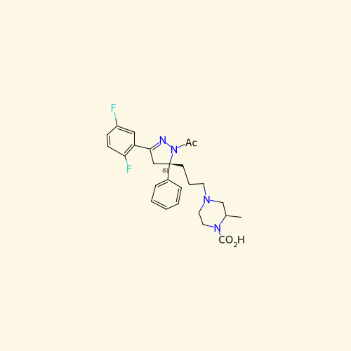 CC(=O)N1N=C(c2cc(F)ccc2F)C[C@@]1(CCCN1CCN(C(=O)O)C(C)C1)c1ccccc1